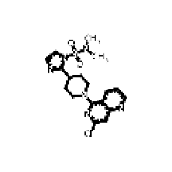 CN(C)S(=O)(=O)n1ccnc1C1CCN(c2nc(Cl)cc3ncccc23)CC1